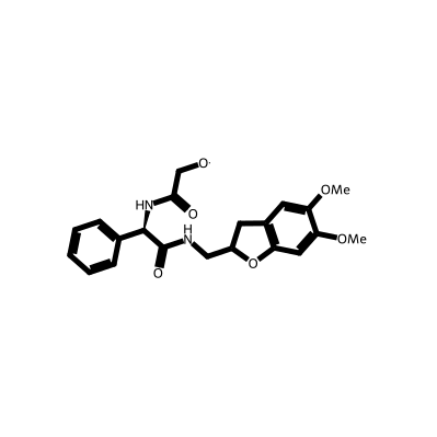 COc1cc2c(cc1OC)OC(CNC(=O)[C@H](NC(=O)C[O])c1ccccc1)C2